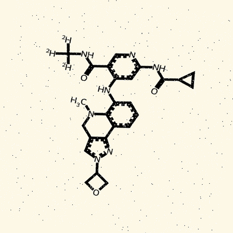 [2H]C([2H])([2H])NC(=O)c1cnc(NC(=O)C2CC2)cc1Nc1cccc2c1N(C)Cc1cn(C3COC3)nc1-2